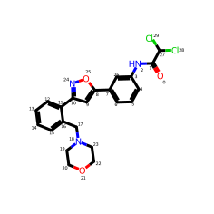 O=C(Nc1cccc(-c2cc(-c3ccccc3CN3CCOCC3)no2)c1)C(Cl)Cl